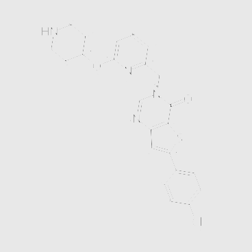 O=c1c2sc(-c3ccc(Cl)cc3)cc2ncn1Cc1cccc(OC2CCNCC2)n1